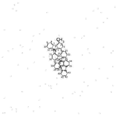 Cc1cccc2c1c1ccccc1n2-c1cccc([Si](c2ccccc2)(c2ccccc2)c2cccc3c2sc2ccccc23)c1